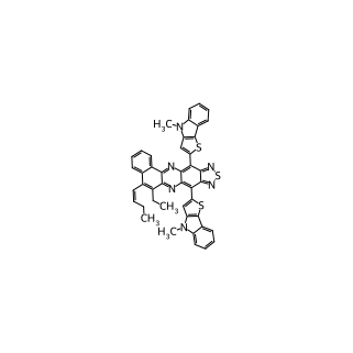 CC/C=C\c1c(CC)c2nc3c(-c4cc5c(s4)c4ccccc4n5C)c4nsnc4c(-c4cc5c(s4)c4ccccc4n5C)c3nc2c2ccccc12